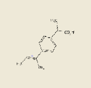 C/C=C(\C)c1ccc(C(C)C(=O)O)cc1